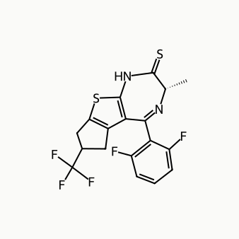 C[C@@H]1N=C(c2c(F)cccc2F)c2c(sc3c2CC(C(F)(F)F)C3)NC1=S